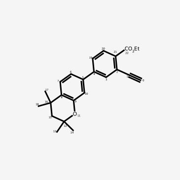 C#Cc1cc(-c2ccc3c(c2)OC(C)(C)CC3(C)C)ccc1C(=O)OCC